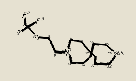 FC(F)(F)OCCN1CCC2(CCNCC2)CC1